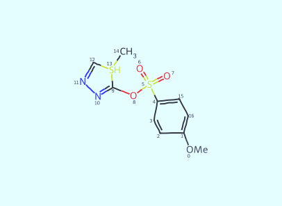 COc1ccc(S(=O)(=O)OC2=NN=C[SH]2C)cc1